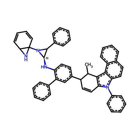 CC1c2c(n(-c3ccccc3)c3ccc4ccccc4c23)C=CC1c1ccc(N[C@@H]2C(c3ccccc3)N2C23C=CC=CC2N3)c(-c2ccccc2)c1